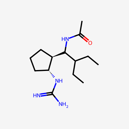 CCC(CC)C(NC(C)=O)[C@@H]1CCC[C@H]1NC(=N)N